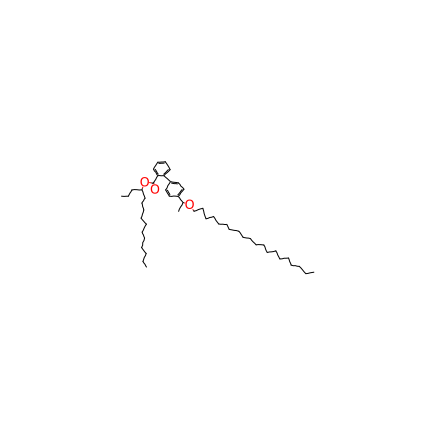 CCCCCCCCCCCCCCCCCCCCOC(C)c1ccc(-c2ccccc2C(=O)OC(CCC)CCCCCCCCCCC)cc1